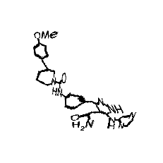 COc1ccc(C2CCCN(C(=O)Nc3ccc(-c4n[nH]c(Nc5cnccn5)c4C(N)=O)cc3)C2)cc1